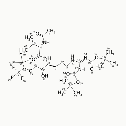 CC(=O)N[C@H](C(=O)N[C@@H](CCCN/C(=N/C(=O)OC(C)(C)C)NC(=O)OC(C)(C)C)C(O)COC(C(F)(F)F)C(F)(F)F)C(C)C